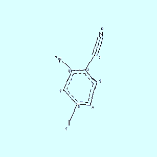 N#Cc1ccc(I)cc1F